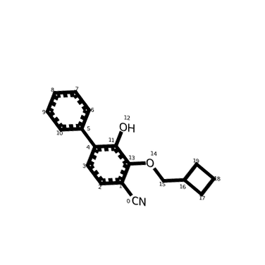 N#Cc1ccc(-c2ccccc2)c(O)c1OCC1CCC1